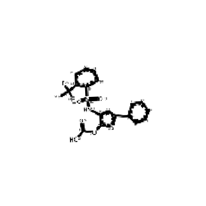 O=C(O)Oc1sc(-c2ccccc2)cc1NS(=O)(=O)c1ccccc1C(F)(F)F